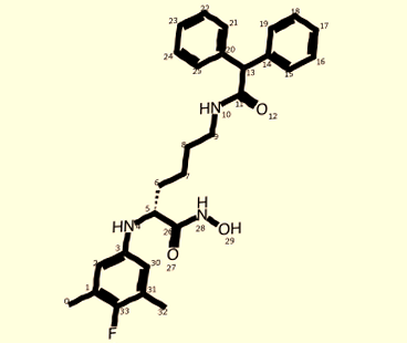 Cc1cc(N[C@H](CCCCNC(=O)C(c2ccccc2)c2ccccc2)C(=O)NO)cc(C)c1F